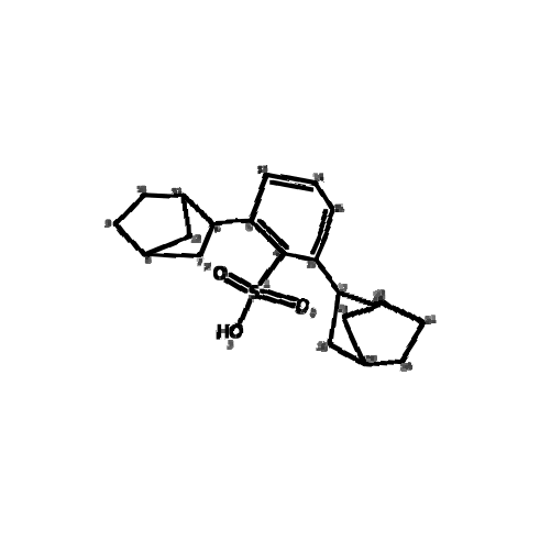 O=S(=O)(O)c1c(C2CC3CCC2C3)cccc1C1CC2CCC1C2